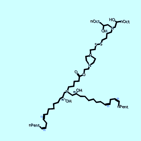 CCCCC/C=C\C/C=C\CCCCCC[C@@H](O)CN(CCCCC(=O)OCCN1CCN(CCSSCCCCN(CC(O)CCCCCCCC)CC(O)CCCCCCCC)CC1)C[C@H](O)CCCCCC/C=C\C/C=C\CCCCC